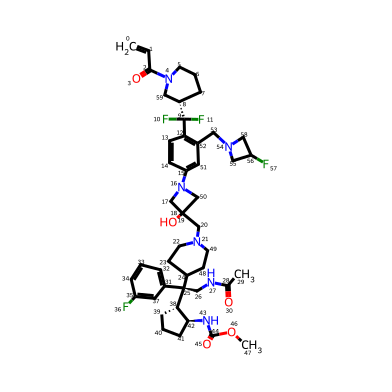 C=CC(=O)N1CCC[C@H](C(F)(F)c2ccc(N3CC(O)(CN4CCC([C@@](CNC(C)=O)(c5cccc(F)c5)[C@H]5CCC[C@@H]5NC(=O)OC)CC4)C3)cc2CN2CC(F)C2)C1